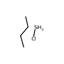 CCCC.[SiH3]Cl